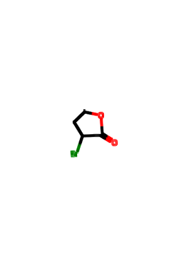 O=C1O[CH]CC1Br